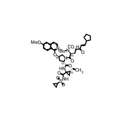 C=C[C@@H]1C[C@]1(NC(=O)[C@@H]1C[C@@H](Oc2nccc3cc(OC)ccc23)CN1C(=O)[C@H](CCC(=O)C=CC1CCCC1)N(C(=O)O)C(C)(C)C)C(=O)NS(=O)(=O)C1CC1